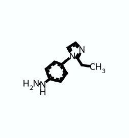 CCc1nccn1-c1ccc(NN)cc1